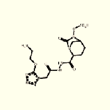 NCCOc1nnnn1CC(=O)NNC(=O)C1CCC2CN1C(=O)N2OS(=O)(=O)O